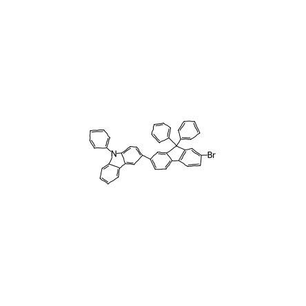 Brc1ccc2c(c1)C(c1ccccc1)(c1ccccc1)c1cc(-c3ccc4c(c3)c3ccccc3n4-c3ccccc3)ccc1-2